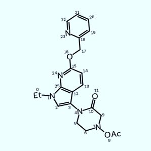 CCn1cc(N2CCN(OC(C)=O)CC2=O)c2ccc(OCc3ccccn3)nc21